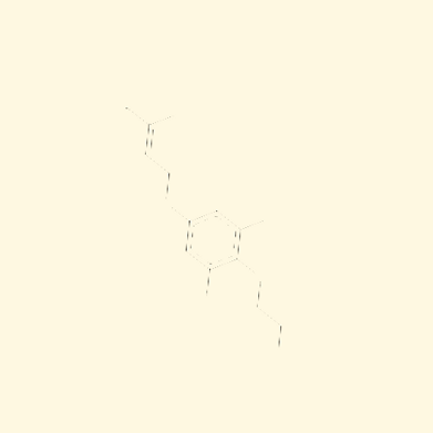 O=CCCOc1c(Cl)cc(OCC=C(Cl)Cl)cc1Cl